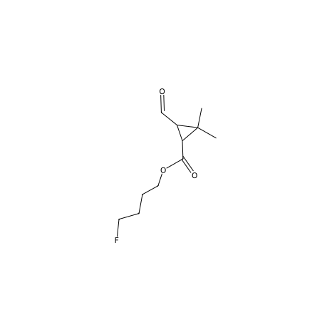 CC1(C)C(C=O)C1C(=O)OCCCCF